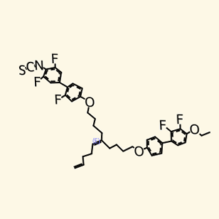 C=CCC/C=C(\CCCCOc1ccc(-c2ccc(OCC)c(F)c2F)cc1)CCCCOc1ccc(-c2cc(F)c(N=C=S)c(F)c2)c(F)c1